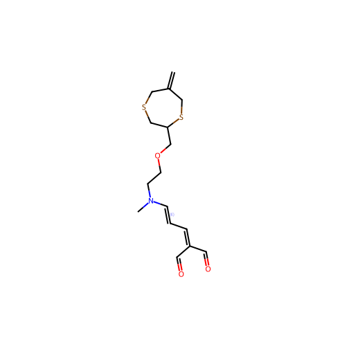 C=C1CSCC(COCCN(C)/C=C/C=C(C=O)C=O)SC1